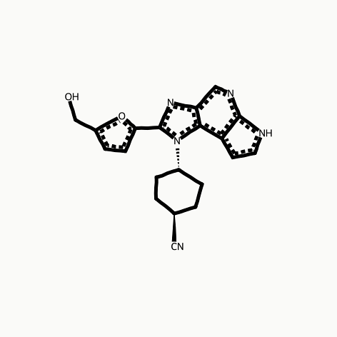 N#C[C@H]1CC[C@H](n2c(-c3ccc(CO)o3)nc3cnc4[nH]ccc4c32)CC1